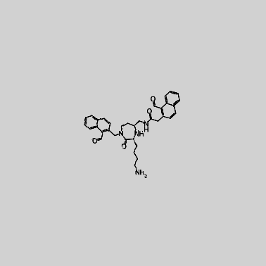 NCCCC[C@@H]1N[C@H](CNC(=O)Cc2ccc3ccccc3c2C=O)CCN(Cc2ccc3ccccc3c2C=O)C1=O